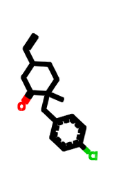 C=CC1CCC(C)(Cc2ccc(Cl)cc2)C(=O)C1